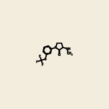 CNC1CCN(c2cccc(SC(F)(F)F)c2)C1=O